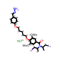 COc1cc(C(=O)N(C(C)CI)C(C)CI)cc(OC)c1OCCCCCOc1ccc(C=NN)cc1.Cl